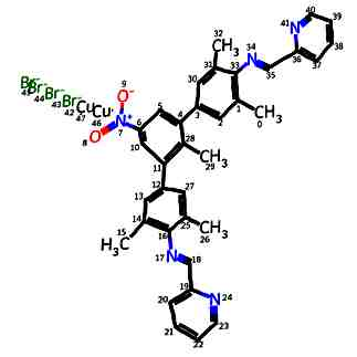 Cc1cc(-c2cc([N+](=O)[O-])cc(-c3cc(C)c(N=Cc4ccccn4)c(C)c3)c2C)cc(C)c1N=Cc1ccccn1.[Br-].[Br-].[Br-].[Br-].[Cu].[Cu]